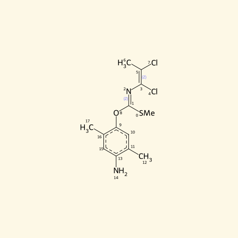 CS/C(=N\C(Cl)=C(/C)Cl)Oc1cc(C)c(N)cc1C